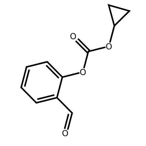 O=Cc1ccccc1OC(=O)OC1CC1